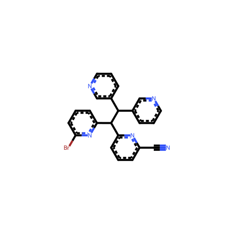 N#Cc1cccc(C(c2cccc(Br)n2)C(c2cccnc2)c2cccnc2)n1